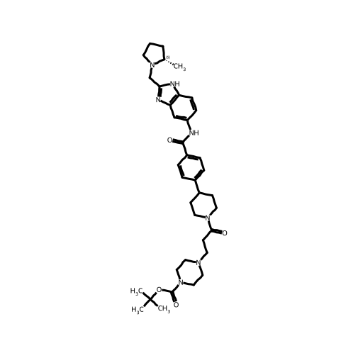 C[C@H]1CCCN1Cc1nc2cc(NC(=O)c3ccc(C4CCN(C(=O)CCN5CCN(C(=O)OC(C)(C)C)CC5)CC4)cc3)ccc2[nH]1